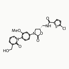 COc1cc(N2C[C@H](CNC(=O)c3ccc(Cl)s3)OC2=O)ccc1-n1cccc(CO)c1=O